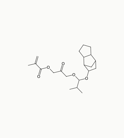 C=C(C)C(=O)OCC(=O)COC(OC1CC2CC1C1CCCC21)C(C)C